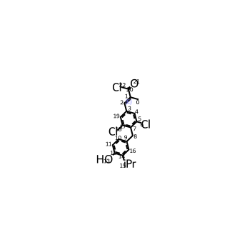 C/C(=C\c1cc(Cl)c(Cc2ccc(O)c(C(C)C)c2)c(Cl)c1)C(=O)Cl